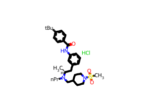 CCCN(CC1CCN(S(C)(=O)=O)CC1)[C@H](C)Cc1cccc(NC(=O)c2ccc(C(C)(C)C)cc2)c1.Cl